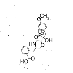 COc1ccc(CC(O)([PH2]=O)[C@H]2CN[C@H](Cc3ccccc3C(=O)O)CO2)cc1